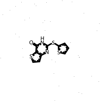 O=c1[nH]c(Sc2cccs2)nc2ccsc12